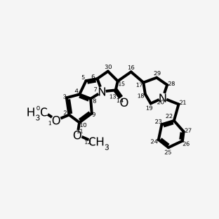 COc1cc2cc3n(c2cc1OC)C(=O)C(CC1CCN(Cc2ccccc2)CC1)C3